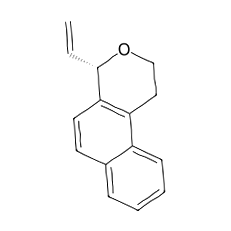 C=C[C@@H]1OCCc2c1ccc1ccccc21